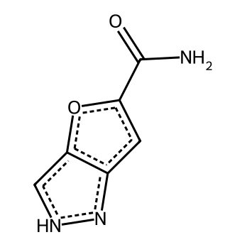 NC(=O)c1cc2n[nH]cc2o1